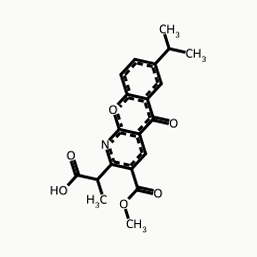 COC(=O)c1cc2c(=O)c3cc(C(C)C)ccc3oc2nc1C(C)C(=O)O